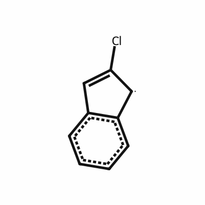 ClC1=Cc2ccccc2[CH]1